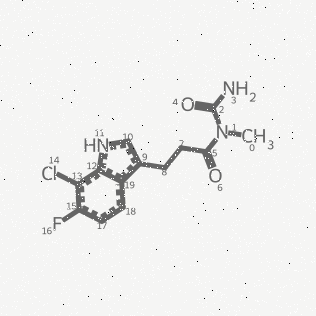 CN(C(N)=O)C(=O)CCc1c[nH]c2c(Cl)c(F)ccc12